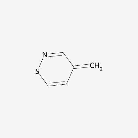 C=C1C=CSN=C1